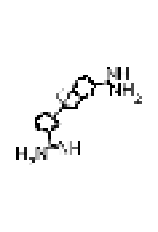 N=C(N)c1cccc(-c2cc3cc(C(=N)N)ccc3o2)c1